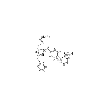 CC=CCc1nc(Cc2ccccc2)nn1Cc1ccc(-c2ccccc2C(=O)O)cc1